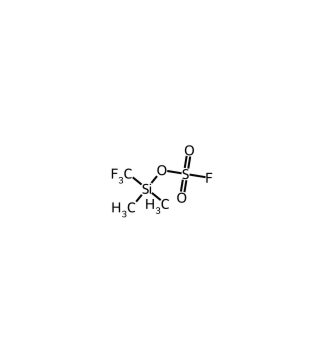 C[Si](C)(OS(=O)(=O)F)C(F)(F)F